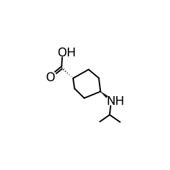 CC(C)N[C@H]1CC[C@H](C(=O)O)CC1